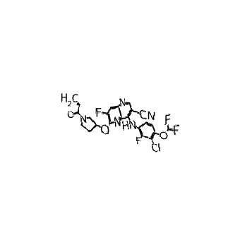 C=CC(=O)N1CCC(Oc2nc3c(Nc4ccc(OC(F)F)c(Cl)c4F)c(C#N)cnc3cc2F)C1